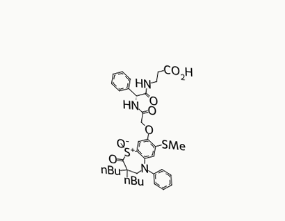 CCCCC1(CCCC)CN(c2ccccc2)c2cc(SC)c(OCC(=O)N[C@@H](C(=O)NCCC(=O)O)c3ccccc3)cc2[S+]([O-])C1=O